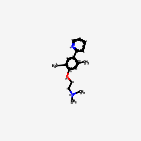 Cc1cc(-c2ccc[c]n2)c(C)cc1OCCN(C)C